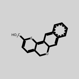 O=C(O)C1=CC=C2COC3C=c4ccccc4=CC3=C2S1